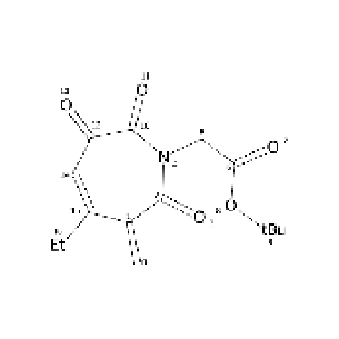 C=C1C(=O)N(CC(=O)OC(C)(C)C)C(=O)C(=O)C=C1CC